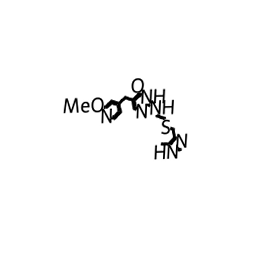 COc1cc(Cc2cnc(NCCSCc3nc[nH]c3C)[nH]c2=O)ccn1